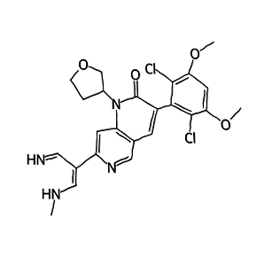 CN/C=C(\C=N)c1cc2c(cn1)cc(-c1c(Cl)c(OC)cc(OC)c1Cl)c(=O)n2C1CCOC1